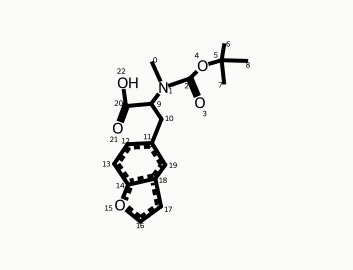 CN(C(=O)OC(C)(C)C)C(Cc1ccc2occc2c1)C(=O)O